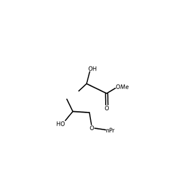 CCCOCC(C)O.COC(=O)C(C)O